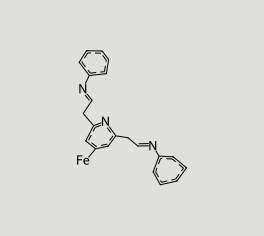 [Fe][c]1cc(CC=Nc2ccccc2)nc(CC=Nc2ccccc2)c1